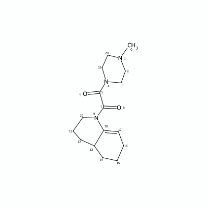 CN1CCN(C(=O)C(=O)N2CCCC3CCCC=C32)CC1